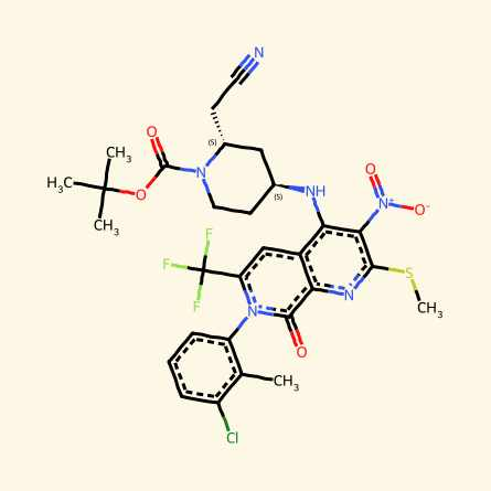 CSc1nc2c(=O)n(-c3cccc(Cl)c3C)c(C(F)(F)F)cc2c(N[C@H]2CCN(C(=O)OC(C)(C)C)[C@H](CC#N)C2)c1[N+](=O)[O-]